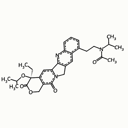 CC[C@@]1(OC(C)C)C(=O)OCc2c1cc1n(c2=O)Cc2cc3c(CCN(C(C)=O)C(C)C)cccc3nc2-1